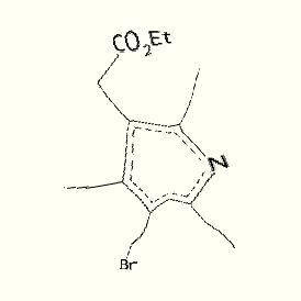 CCOC(=O)Cc1c(C)nc(C)c(Br)c1C